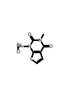 CC(=O)Cl.CC(C)n1c(=O)n(C)c(=O)c2ccsc21